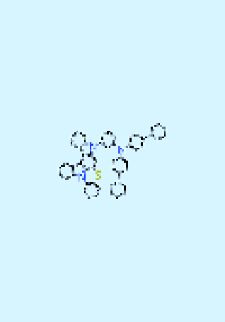 c1ccc(-c2ccc(N(c3ccc(-c4ccccc4)cc3)c3cccc(-n4c5ccccc5c5c6c7ccccc7n7c6c(cc54)Sc4ccccc4-7)c3)cc2)cc1